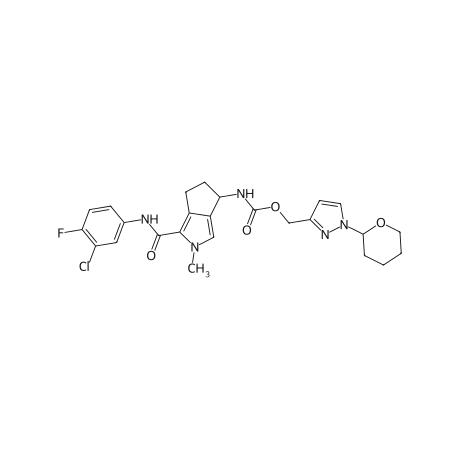 Cn1cc2c(c1C(=O)Nc1ccc(F)c(Cl)c1)CCC2NC(=O)OCc1ccn(C2CCCCO2)n1